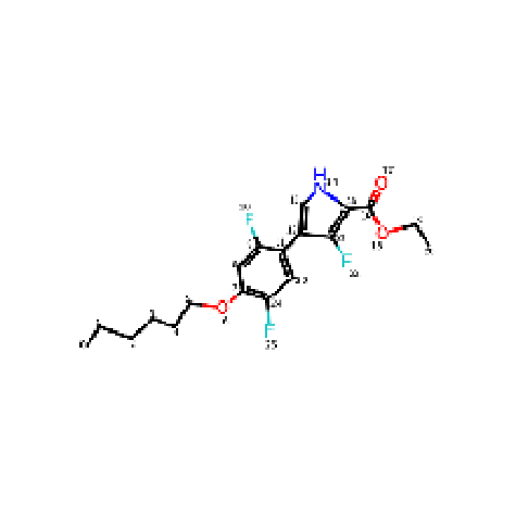 CCCCCCOc1cc(F)c(-c2c[nH]c(C(=O)OCC)c2F)cc1F